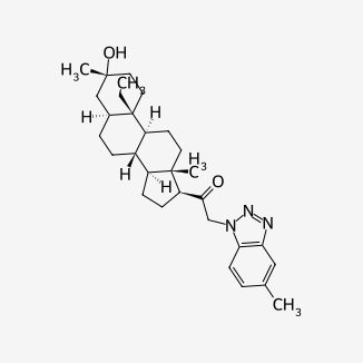 CC[C@]12CC[C@@](C)(O)C[C@@H]1CC[C@H]1[C@@H]3CC[C@H](C(=O)Cn4nnc5cc(C)ccc54)[C@@]3(C)CC[C@@H]12